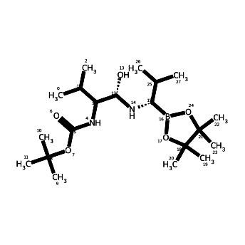 CC(C)C(NC(=O)OC(C)(C)C)[C@H](O)N[C@@H](B1OC(C)(C)C(C)(C)O1)C(C)C